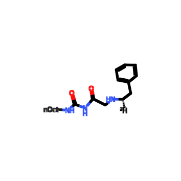 [2H][C@@H](Cc1ccccc1)NCC(=O)NC(=O)NCCCCCCCC